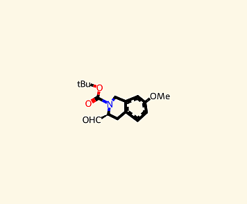 COc1ccc2c(c1)CN(C(=O)OC(C)(C)C)[C@H](C=O)C2